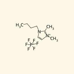 CCCCn1cc[n+](C)c1C.F[P-](F)(F)(F)(F)F